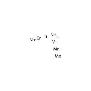 N.[Cr].[Mn].[Mo].[Nb].[Ti].[V]